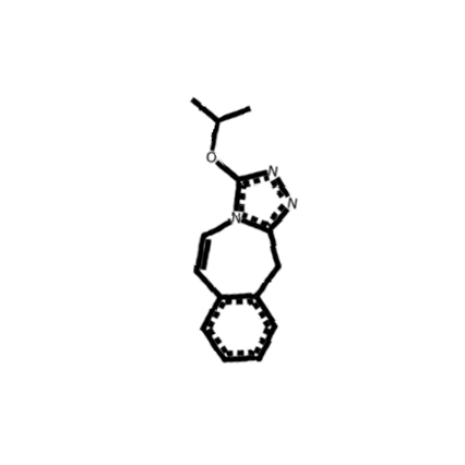 CC(C)Oc1nnc2n1C=Cc1ccccc1C2